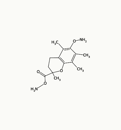 Cc1c(C)c2c(c(C)c1ON)CCC(C)(C(=O)ON)O2